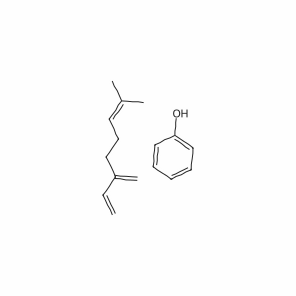 C=CC(=C)CCC=C(C)C.Oc1ccccc1